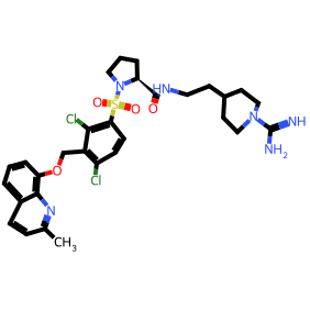 Cc1ccc2cccc(OCc3c(Cl)ccc(S(=O)(=O)N4CCC[C@H]4C(=O)NCCC4CCN(C(=N)N)CC4)c3Cl)c2n1